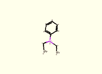 CC(C)C[I+](CC(C)C)c1ccccc1